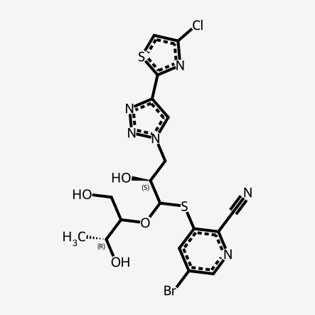 C[C@@H](O)C(CO)OC(Sc1cc(Br)cnc1C#N)[C@@H](O)Cn1cc(-c2nc(Cl)cs2)nn1